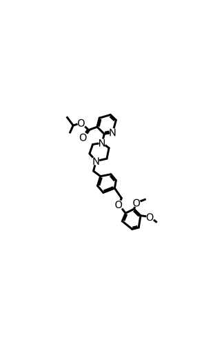 COc1cccc(OCc2ccc(CN3CCN(c4ncccc4C(=O)OC(C)C)CC3)cc2)c1OC